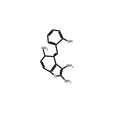 Nc1oc2c(c1N)C(=Cc1ccccc1O)C(N)C=C2